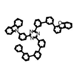 c1ccc(-c2cccc(-c3cccc(-c4cccc(-c5nc(-c6cccc(-c7cccc(-c8cccc9c8oc8ccccc89)c7)c6)nc(-c6cccc(-n7c8ccccc8c8ccccc87)c6)n5)c4)c3)c2)cc1